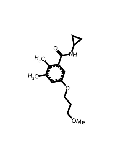 COCCCOc1cc(C)c(C)c(C(=O)NC2CC2)c1